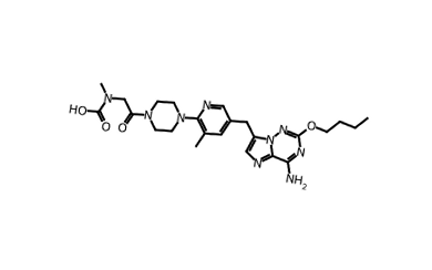 CCCCOc1nc(N)c2ncc(Cc3cnc(N4CCN(C(=O)CN(C)C(=O)O)CC4)c(C)c3)n2n1